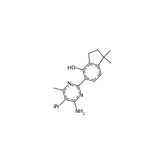 Cc1nc(-c2ccc3c(c2O)CCC3(C)C)nc(N)c1C(C)C